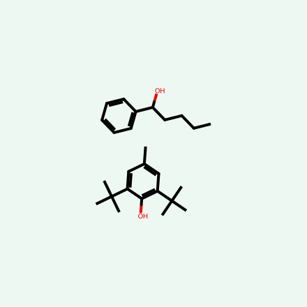 CCCCC(O)c1ccccc1.Cc1cc(C(C)(C)C)c(O)c(C(C)(C)C)c1